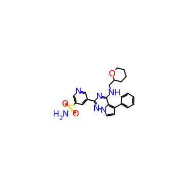 NS(=O)(=O)c1cncc(-c2nc(NCC3CCCCO3)c3c(-c4ccccc4)ccn3n2)c1